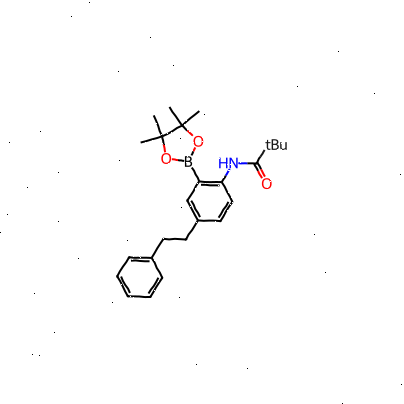 CC(C)(C)C(=O)Nc1ccc(CCc2ccccc2)cc1B1OC(C)(C)C(C)(C)O1